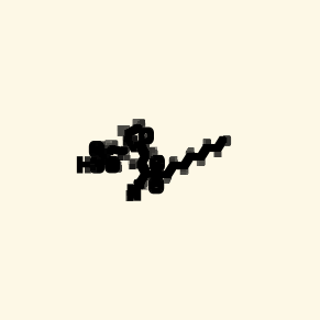 CCCCCCCCS(=O)(=O)/C(C#N)=C\C=C1\OCCN1CCS(=O)(=O)O